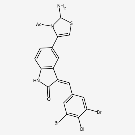 CC(=O)N1C(c2ccc3c(c2)C(=Cc2cc(Br)c(O)c(Br)c2)C(=O)N3)=CSC1N